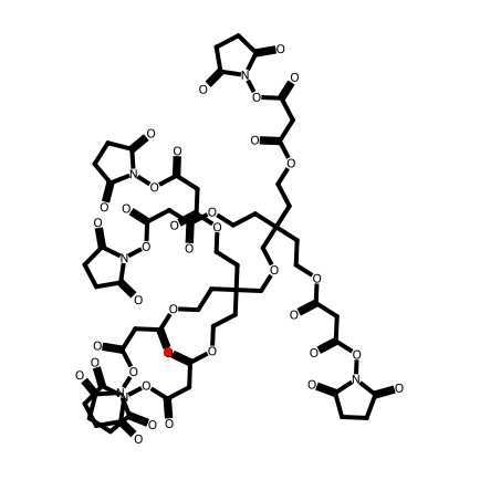 O=C(CC(=O)ON1C(=O)CCC1=O)OCCC(CCOC(=O)CC(=O)ON1C(=O)CCC1=O)(CCOC(=O)CC(=O)ON1C(=O)CCC1=O)COCC(CCOC(=O)CC(=O)ON1C(=O)CCC1=O)(CCOC(=O)CC(=O)ON1C(=O)CCC1=O)CCOC(=O)CC(=O)ON1C(=O)CCC1=O